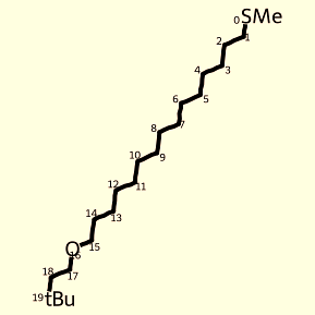 CSCCCCCCCCCCCCCCCOCCC(C)(C)C